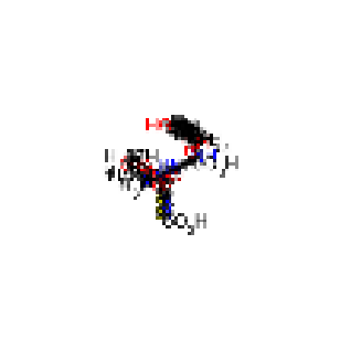 CC1=C(C)C(=O)C(C(C)(C)CC(=O)N(C)CCN(CCCC(=O)NCCCCC(NC(=O)CCC(C)[C@H]2CC[C@H]3[C@@H]4CC[C@@H]5C[C@H](O)CC[C@]5(C)[C@H]4C[C@H](O)[C@]23C)C(=O)O)C(=O)Oc2ccc3nc(C4=NC(C(=O)O)CS4)sc3c2)=C(C)C1=O